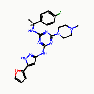 C[C@H](Nc1nc(Nc2cc(-c3ccco3)[nH]n2)nc(N2CCN(C)CC2)n1)c1ccc(F)cc1